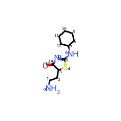 NCCC1SC(NC2CCCCC2)=NC1=O